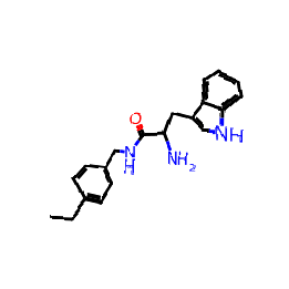 CCc1ccc(CNC(=O)C(N)Cc2c[nH]c3ccccc23)cc1